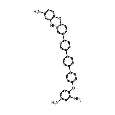 Nc1ccc(Oc2ccc(-c3ccc(-c4ccc(-c5ccc(Oc6ccc(N)cc6N)cc5)cc4)cc3)cc2)c(N)c1